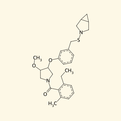 CCc1cccc(C)c1C(=O)N1CC(OC)C(Oc2cccc(CSN3CC4CC4C3)c2)C1